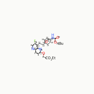 CCOC(=O)COc1ccc2ncc(F)c(CCC34CCC(NC(=O)OC(C)(C)C)(CC3)CO4)c2n1